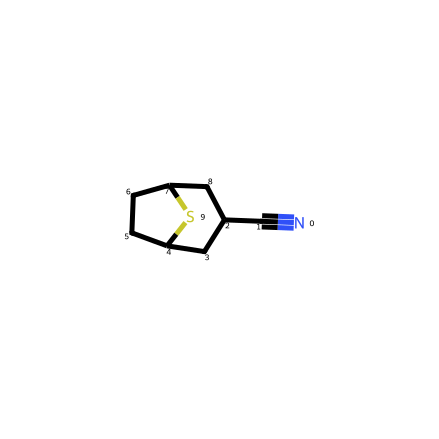 N#CC1CC2CCC(C1)S2